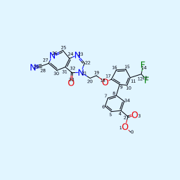 COC(=O)c1cccc(-c2cc(C(F)F)ccc2OCCn2cnc3cnc(C#N)cc3c2=O)c1